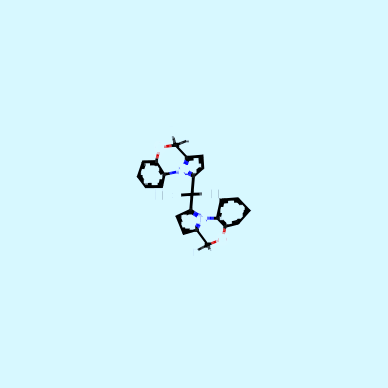 CCC1(CC)Oc2ccccc2-n2c1ccc2C(C)(C)c1ccc2n1-c1ccccc1OC2(CC)CC